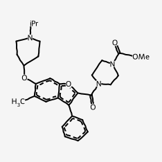 COC(=O)N1CCN(C(=O)c2oc3cc(OC4CCN(C(C)C)CC4)c(C)cc3c2-c2ccccc2)CC1